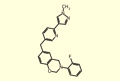 Cn1cc(-c2ccc(Cc3ccc4c(c3)CN(c3ccccc3F)CO4)cn2)cn1